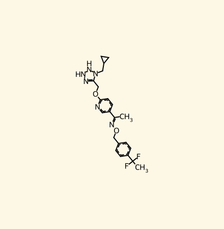 C/C(=N\OCc1ccc(C(C)(F)F)cc1)c1ccc(OCC2=NNNN2CC2CC2)nc1